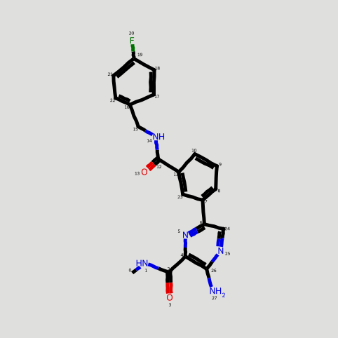 CNC(=O)c1nc(-c2cccc(C(=O)NCc3ccc(F)cc3)c2)cnc1N